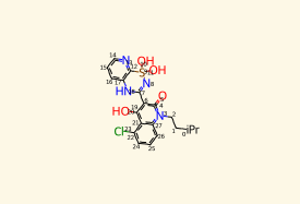 CC(C)CCn1c(=O)c(C2=NS(O)(O)c3ncccc3N2)c(O)c2c(Cl)cccc21